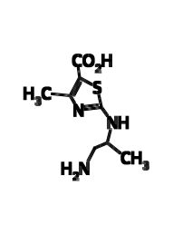 Cc1nc(NC(C)CN)sc1C(=O)O